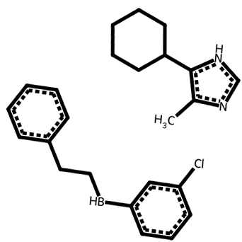 Cc1nc[nH]c1C1CCCCC1.Clc1cccc(BCCc2ccccc2)c1